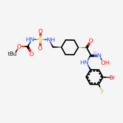 CC(C)(C)OC(=O)NS(=O)(=O)NC[C@H]1CC[C@H](C(=O)/C(=N/O)Nc2ccc(F)c(Br)c2)CC1